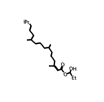 CCC(O)OC(=O)C=C(C)CCCC(C)CCCC(C)CCCC(C)C